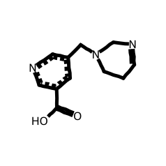 O=C(O)c1cncc(CN2CCC=NC2)c1